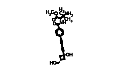 COC(=O)[C@@H](NC(=O)c1ccc(C#CC#C[C@]2(O)C[C@@H](CO)C2)cc1)C(C)(C)N